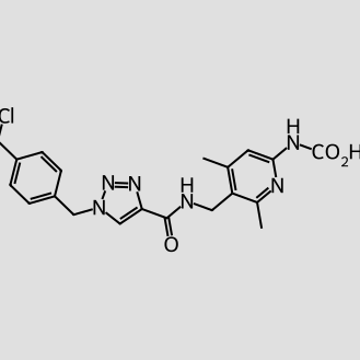 Cc1cc(NC(=O)O)nc(C)c1CNC(=O)c1cn(Cc2ccc(CCl)cc2)nn1